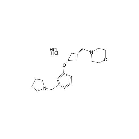 Cl.Cl.c1cc(CN2CCCC2)cc(O[C@H]2C[C@H](CN3CCOCC3)C2)c1